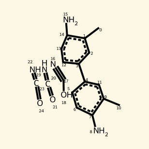 Cc1cc(-c2ccc(N)c(C)c2)ccc1N.N#CO.N=C=O.N=C=O